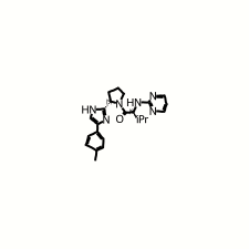 Cc1ccc(-c2c[nH]c([C@@H]3CCCN3C(=O)[C@@H](Nc3ncccn3)C(C)C)n2)cc1